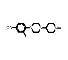 Cc1cc(N=O)ccc1N1CCN(C2CCN(C)CC2)CC1